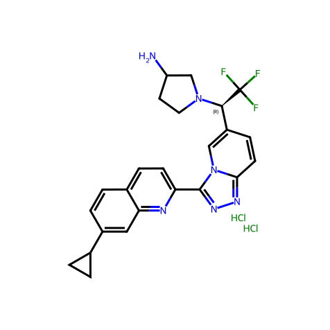 Cl.Cl.NC1CCN([C@H](c2ccc3nnc(-c4ccc5ccc(C6CC6)cc5n4)n3c2)C(F)(F)F)C1